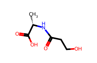 C[C@H](NC(=O)CCO)C(=O)O